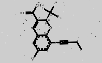 CCC#Cc1cc(Cl)cc2c1O[C@H](C(F)(F)F)C(C(=O)O)=C2